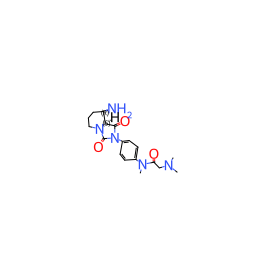 CN(C)CC(=O)N(C)c1ccc(N2C(=O)[C@@H]3[C@H](N)CCCN3C2=O)cc1